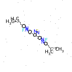 CCCCC(CC)CCc1ccc(N=Nc2ccc(-c3ccc(-c4ccc(N=Nc5ccc(CCC(CC)CCCC)cc5F)cc4)c4nsnc34)cc2)c(F)c1